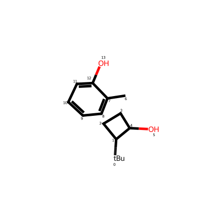 CC(C)(C)C1CCC1O.Cc1ccccc1O